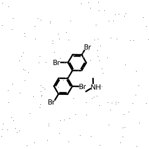 Brc1ccc(-c2ccc(Br)cc2Br)c(Br)c1.CNC